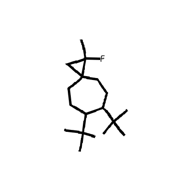 CC(C)(C)C1CCC2(CCC1C(C)(C)C)CC2(C)F